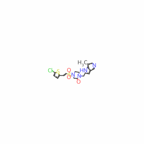 Cc1cncc2cc(CN3CCN(S(=O)(=O)C=Cc4ccc(Cl)s4)CC3=O)[nH]c12